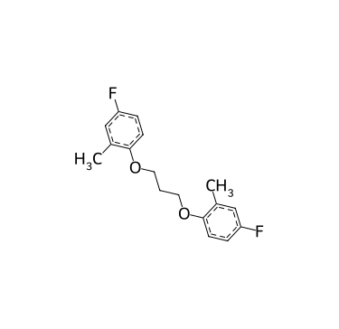 Cc1cc(F)ccc1OCCCOc1ccc(F)cc1C